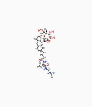 CC[C@@]1(c2ccc(C)c(Cc3ccc(CCCC(=O)NC4(C(=O)NCCN(C)C)CCC4)cc3)c2)O[C@](C)(C(C)(C)O)[C@@H](O)[C@H](O)[C@H]1O